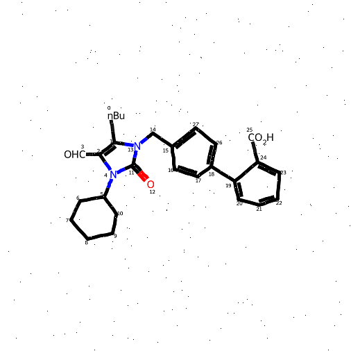 CCCCc1c(C=O)n(C2CCCCC2)c(=O)n1Cc1ccc(-c2ccccc2C(=O)O)cc1